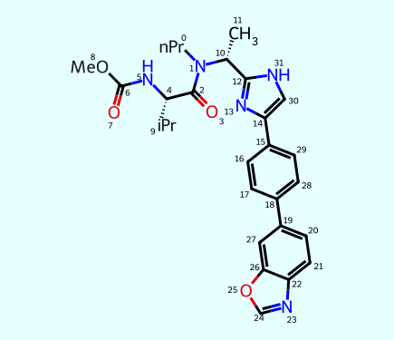 CCCN(C(=O)[C@@H](NC(=O)OC)C(C)C)[C@H](C)c1nc(-c2ccc(-c3ccc4ncoc4c3)cc2)c[nH]1